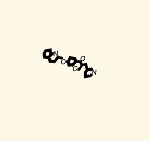 O=C1c2ccc(OCc3ccc4ccccc4n3)cc2OCC1Cc1cccnc1